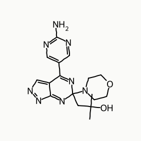 CC(C)(O)CC1(N2CCOCC2)N=C2N=NC=C2C(c2cnc(N)nc2)=N1